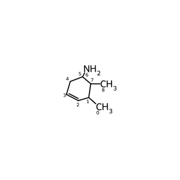 CC1C=CCC(N)C1C